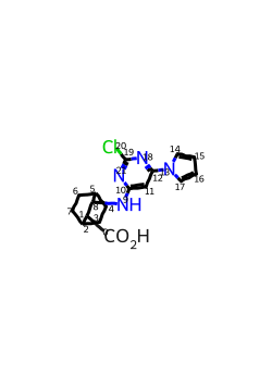 O=C(O)C1C2CCC(CC2)C1Nc1cc(-n2cccc2)nc(Cl)n1